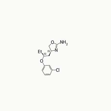 CC[C@@H](C[C@H]1COC(N)=N1)Oc1cccc(Cl)c1